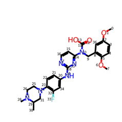 COc1ccc(OC)c(CN(C(=O)O)c2ccnc(Nc3ccc(N4CCN(C)C(C)C4)c(F)c3)n2)c1